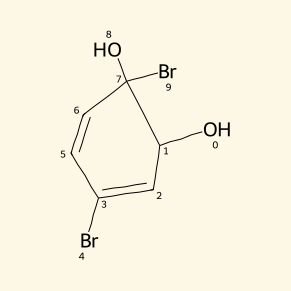 OC1C=C(Br)C=CC1(O)Br